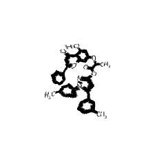 Cc1ccc(-n2nc(OC(=O)C(C)Oc3cc(O)c4c(=O)cc(-c5ccccc5)oc4c3)cc2-c2cccc(C)c2)cc1